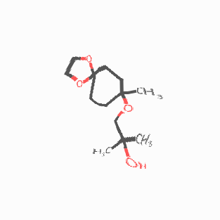 CC(C)(O)COC1(C)CCC2(CC1)OCCO2